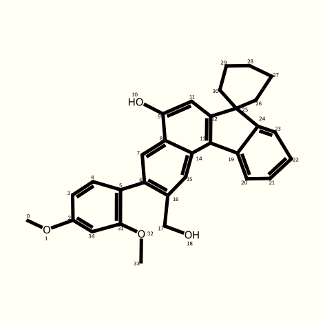 COc1ccc(-c2cc3c(O)cc4c(c3cc2CO)-c2ccccc2C42CCCCC2)c(OC)c1